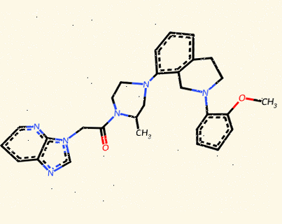 COc1ccccc1N1CCc2cccc(N3CCN(C(=O)Cn4cnc5cccnc54)C(C)C3)c2C1